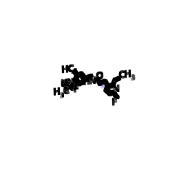 C#Cc1cc(CNC(=O)/C=C/c2ccc(CF)nc2CCC)cc(F)c1NS(C)(=O)=O